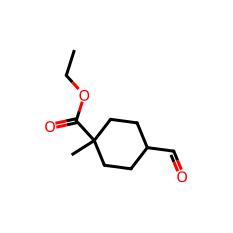 CCOC(=O)C1(C)CCC(C=O)CC1